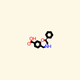 O=C(O)c1ccc2c(c1)O[C@@H](c1ccccc1)CNC2